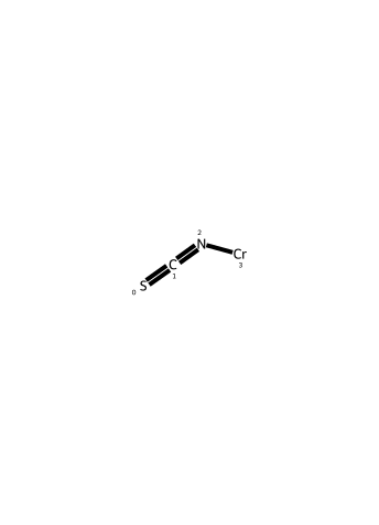 S=C=[N][Cr]